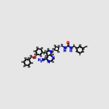 Cc1cccc(CNC(=O)NC[C@H]2C[C@@H](n3cc(-c4cccc(OCc5ccccc5)c4)c4c(N)ncnc43)C2)c1